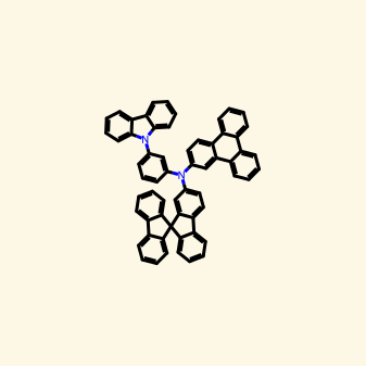 c1cc(N(c2ccc3c(c2)C2(c4ccccc4-c4ccccc42)c2ccccc2-3)c2ccc3c4ccccc4c4ccccc4c3c2)cc(-n2c3ccccc3c3ccccc32)c1